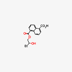 CCC(O)COC(=O)c1cccc2c(C(=O)O)cccc12